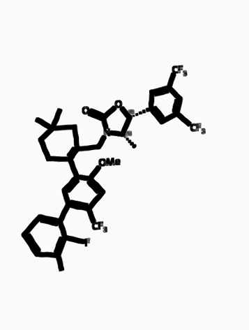 COc1cc(C(F)(F)F)c(-c2cccc(C)c2F)cc1C1=C(CN2C(=O)O[C@H](c3cc(C(F)(F)F)cc(C(F)(F)F)c3)[C@@H]2C)CC(C)(C)CC1